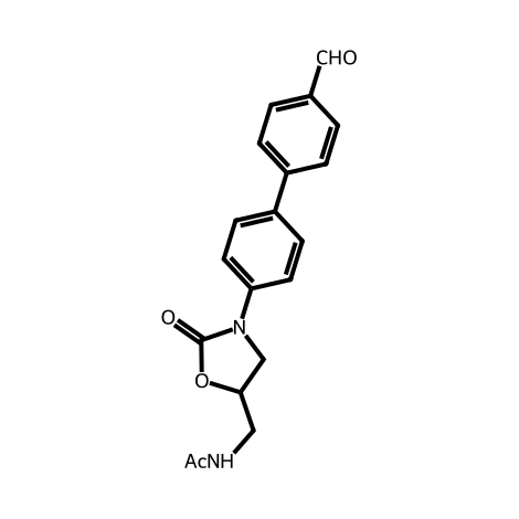 CC(=O)NCC1CN(c2ccc(-c3ccc(C=O)cc3)cc2)C(=O)O1